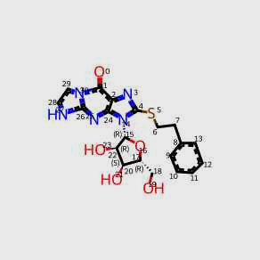 O=c1c2nc(SCCc3ccccc3)n([C@@H]3O[C@H](CO)[C@@H](O)[C@H]3O)c2nc2[nH]ccn12